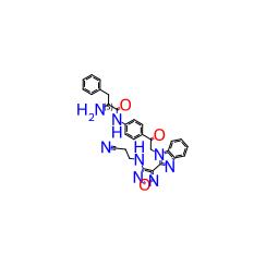 N#CCCNc1nonc1-c1nc2ccccc2n1CC(=O)c1ccc(NC(=O)[C@@H](N)Cc2ccccc2)cc1